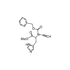 C#CN(C(=O)OCc1ccccc1)C(Cc1cnc[nH]1)C(=O)OC